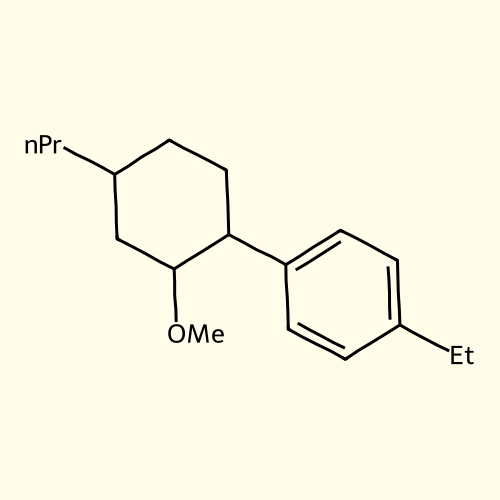 CCCC1CCC(c2ccc(CC)cc2)C(OC)C1